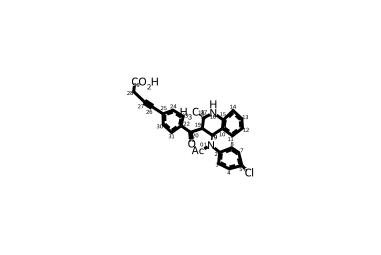 CC(=O)N(c1ccc(Cl)cc1)[C@H]1c2ccccc2N[C@@H](C)C1C(=O)c1ccc(C#CCC(=O)O)cc1